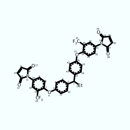 CCC(c1ccc(Oc2ccc(N3C(=O)C=CC3=O)cc2C(F)(F)F)cc1)c1ccc(Oc2ccc(N3C(=O)C=CC3=O)cc2C(F)(F)F)cc1